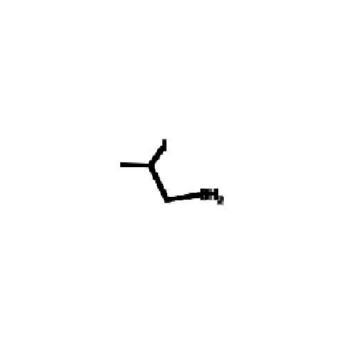 BCC(C)I